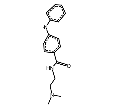 CN(C)CCNC(=O)c1ccc([N]c2ccccc2)cc1